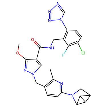 COc1nn(Cc2ccc(N3CC4C5C4C53)nc2C)cc1C(=O)NCc1c(-n2cnnn2)ccc(Cl)c1F